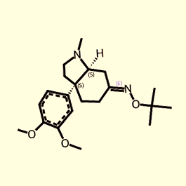 COc1ccc([C@@]23CC/C(=N\OC(C)(C)C)C[C@@H]2N(C)CC3)cc1OC